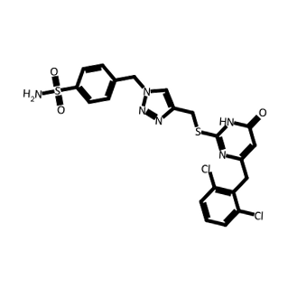 NS(=O)(=O)c1ccc(Cn2cc(CSc3nc(Cc4c(Cl)cccc4Cl)cc(=O)[nH]3)nn2)cc1